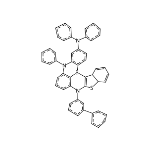 C1=CC2SC3=C(B4c5ccc(N(c6ccccc6)c6ccccc6)cc5N(c5ccccc5)c5cccc(c54)N3c3cccc(-c4ccccc4)c3)C2C=C1